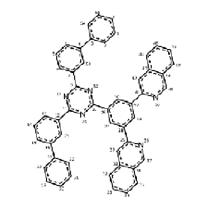 c1ccc(-c2cccc(-c3nc(-c4cccc(-c5ccccc5)c4)nc(-c4cc(-c5cc6ccccc6cn5)cc(-c5cc6ccccc6cn5)c4)n3)c2)cc1